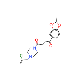 C=C(Cl)CN1CCN(C(=O)CCC(=O)c2ccc3c(c2)OC(C)O3)CC1